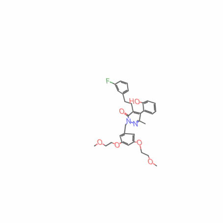 COCCOc1cc(Cn2nc(C)c(-c3ccccc3O)c(CCc3cccc(F)c3)c2=O)cc(OCCOC)c1